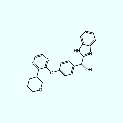 OC(c1ccc(Oc2nccnc2C2CCCOC2)cc1)c1nc2ccccc2[nH]1